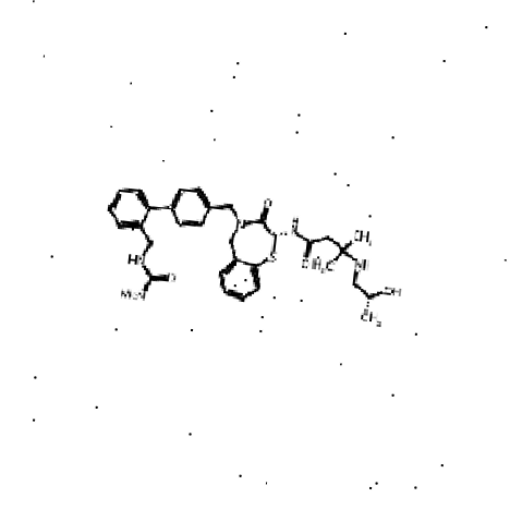 CNC(=O)NCc1ccccc1-c1ccc(CN2Cc3ccccc3S[C@@H](NC(=O)CC(C)(C)NC[C@@H](C)O)C2=O)cc1